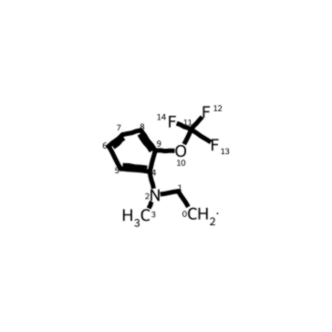 [CH2]CN(C)c1ccccc1OC(F)(F)F